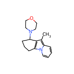 Cc1c2c(n3ccccc13)CCCC2N1CCOCC1